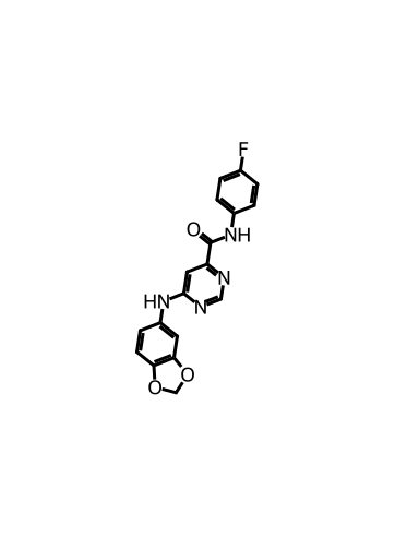 O=C(Nc1ccc(F)cc1)c1cc(Nc2ccc3c(c2)OCO3)ncn1